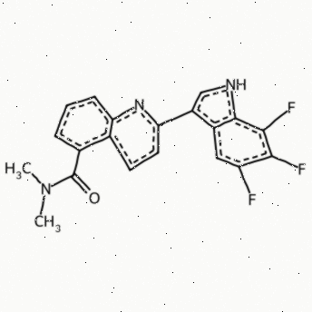 CN(C)C(=O)c1cccc2nc(-c3c[nH]c4c(F)c(F)c(F)cc34)ccc12